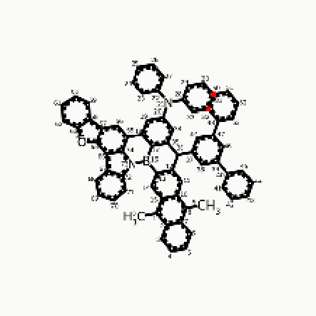 Cc1c2ccccc2c(C)c2cc3c(cc12)B1c2c(cc(N(c4ccccc4)c4ccccc4)cc2C3c2cc(-c3ccccc3)cc(-c3ccccc3)c2)-c2cc3c4ccccc4oc3c3c4ccccc4n1c23